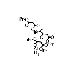 CC(C)OC(=O)CC(=O)OC(C)C.CC(C)OC(=O)CC(=O)OC(C)C.CC(C)OC(=O)CC(=O)OC(C)C.[AlH3]